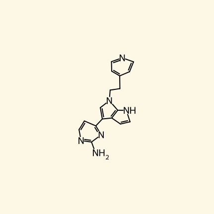 Nc1nccc(-c2cn(CCc3ccncc3)c3[nH]ccc23)n1